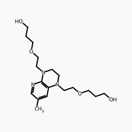 Cc1cnc2c(c1)N(CCOCCCO)CCN2CCOCCCO